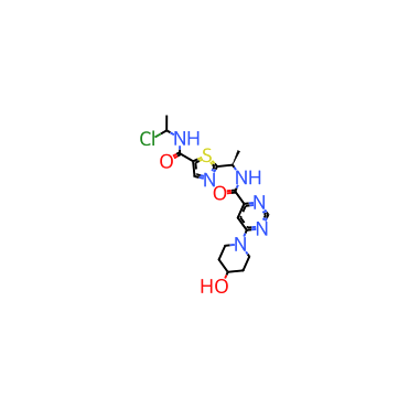 CC(Cl)NC(=O)c1cnc([C@@H](C)NC(=O)c2cc(N3CCC(O)CC3)ncn2)s1